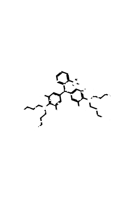 CCCCN(CCCC)c1c(C)cc(C(c2cc(C)c(N(CCCC)CCCC)c(C)c2)c2ccccc2S(=O)(=O)O)cc1C